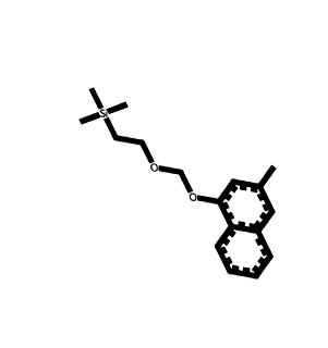 Cc1cc(OCOCC[Si](C)(C)C)c2ccccc2c1